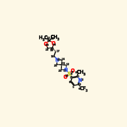 Cc1nc(C(F)(F)F)ccc1S(=O)(=O)N1CC2(CN(CC[C@@H]3COC(C)(C)O3)C2)C1